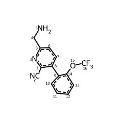 N#Cc1nc(CN)ccc1-c1ccccc1OC(F)(F)F